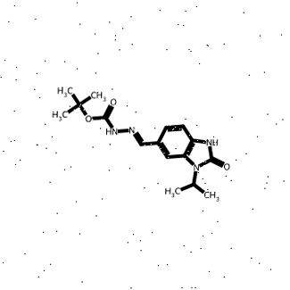 CC(C)n1c(=O)[nH]c2ccc(/C=N/NC(=O)OC(C)(C)C)cc21